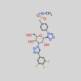 CNS(=O)(=O)Cc1ccc(-n2cnnc2[C@@H]2O[C@H](CO)[C@H](O)[C@H](n3cc(-c4cc(F)c(F)c(F)c4)nn3)[C@H]2O)cc1